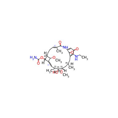 CCNC1=C2C[C@@H](C)C[C@H](OC)[C@H](O)[C@@H](C)/C=C3\C(OC)[C@@H](CC/C=C(\C)C(=O)NC(=CC1=O)C2=O)[C@H]3OC(N)=O